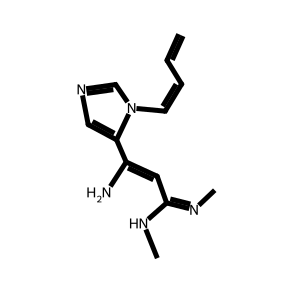 C=C/C=C\n1cncc1/C(N)=C/C(=N\C)NC